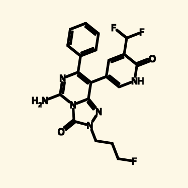 Nc1nc(-c2ccccc2)c(-c2c[nH]c(=O)c(C(F)F)c2)c2nn(CCCF)c(=O)n12